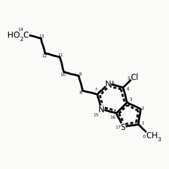 Cc1cc2c(Cl)nc(CCCCCCC(=O)O)nc2s1